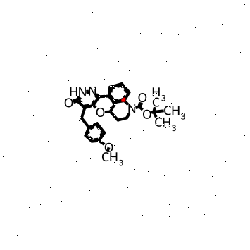 COc1ccc(Cc2c(OC3CCN(C(=O)OC(C)(C)C)CC3)c(-c3ccccc3)n[nH]c2=O)cc1